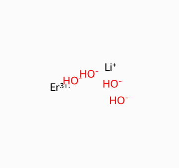 [Er+3].[Li+].[OH-].[OH-].[OH-].[OH-]